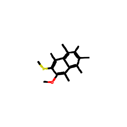 COc1c(SC)c(C)c2c(C)c(C)c(C)c(C)c2c1C